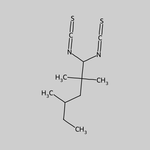 CCC(C)CC(C)(C)C(N=C=S)N=C=S